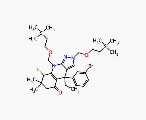 CCC1(c2cccc(Br)c2)C2=C(C(F)C(C)(C)CC2=O)N(COCC[Si](C)(C)C)c2nn(COCC[Si](C)(C)C)cc21